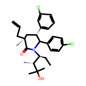 C=CC[C@@]1(C)C[C@H](c2cccc(Cl)c2)C(c2ccc(Cl)cc2)N([C@@H](CC)[C@@H](C)C(C)(C)O)C1=O